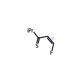 CC(C)C(=S)/C=C\F